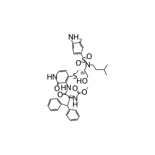 COC(=O)N[C@H](C(=O)Nc1c(SC[C@@H](CO)N(CCC(C)C)S(=O)(=O)c2ccc(N)cc2)cc[nH]c1=O)C(c1ccccc1)c1ccccc1